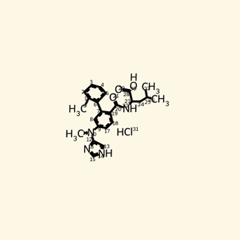 Cc1ccccc1-c1cc(N(C)c2c[nH]cn2)ccc1C(=O)NC(CC(C)C)C(=O)O.Cl